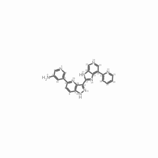 Nc1cncc(-c2ccc3[nH]nc(-c4nc5c(-c6ccccn6)cncc5[nH]4)c3n2)c1